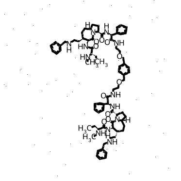 CC[C@H](NC)C(=O)N[C@@H]1C(=O)N2[C@@H](CC[C@@H]1CCNCc1ccccc1)CC[C@H]2C(=O)N[C@H](C(=O)NCCOCc1ccc(COCCNC(=O)[C@@H](NC(=O)[C@@H]2CC[C@@H]3CC[C@H](CCNCc4ccccc4)[C@H](NC(=O)[C@H](CC)NC)C(=O)N32)c2ccccc2)cc1)c1ccccc1